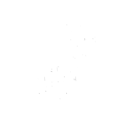 O=C1CC(SCCC(F)(F)C(F)(F)C(F)(F)C(F)(F)C(F)(F)C(F)(F)F)C(=O)O1